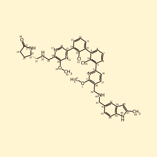 COc1nc(-c2cccc(-c3cccc(-c4cnc(CNC[C@@H]5CCC(=O)N5)c(OC)n4)c3Cl)c2Cl)ccc1CNCc1ccc2[nH]c(C)cc2c1